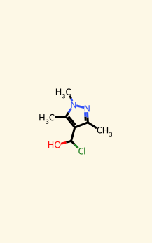 Cc1nn(C)c(C)c1C(O)Cl